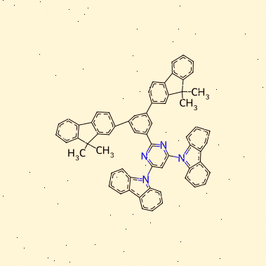 CC1(C)c2ccccc2-c2ccc(-c3cc(-c4ccc5c(c4)C(C)(C)c4ccccc4-5)cc(-c4nc(-n5c6ccccc6c6ccccc65)cc(-n5c6ccccc6c6ccccc65)n4)c3)cc21